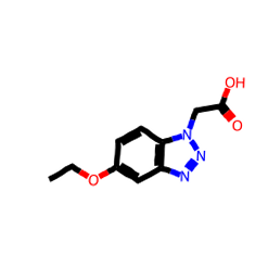 CCOc1ccc2c(c1)nnn2CC(=O)O